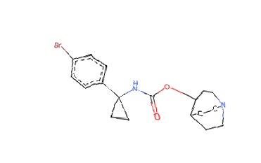 O=C(NC1(c2ccc(Br)cc2)CC1)OC1CCN2CCC1CC2